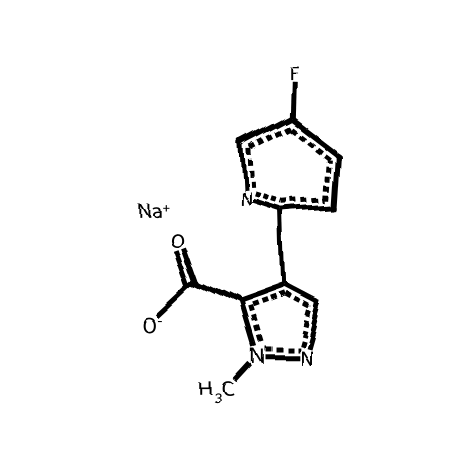 Cn1ncc(-c2ccc(F)cn2)c1C(=O)[O-].[Na+]